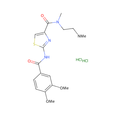 CNCCN(C)C(=O)c1csc(NC(=O)c2ccc(OC)c(OC)c2)n1.Cl.Cl